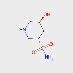 NS(=O)(=O)[C@@H]1CNC[C@@H](O)C1